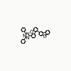 c1ccc(-c2nc(-c3ccccc3)nc(-c3cccc4c3oc3cccc(-c5ccc6oc7ccccc7c6c5)c34)n2)cc1